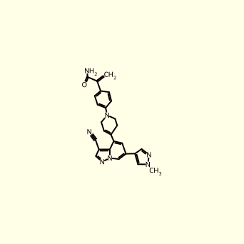 C=C(C(N)=O)c1ccc(N2CC=C(c3cc(-c4cnn(C)c4)cn4ncc(C#N)c34)CC2)cc1